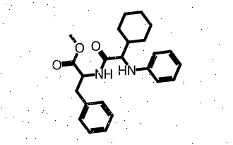 COC(=O)C(Cc1ccccc1)NC(=O)C(Nc1ccccc1)C1CCCCC1